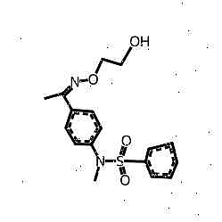 C/C(=N/OCCO)c1ccc(N(C)S(=O)(=O)c2ccccc2)cc1